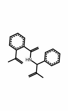 C=C(C)c1ccccc1C(=C)NC(C(=C)C)c1ccccc1